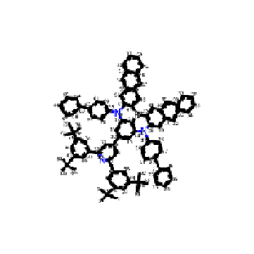 CC(C)(C)c1cc(-c2cc(-c3cc4c5c(c3)N(c3ccc(-c6ccccc6)cc3)c3cc6cc7ccccc7cc6cc3B5c3cc5cc6ccccc6cc5cc3N4c3ccc(-c4ccccc4)cc3)cc(-c3cc(C(C)(C)C)cc(C(C)(C)C)c3)n2)cc(C(C)(C)C)c1